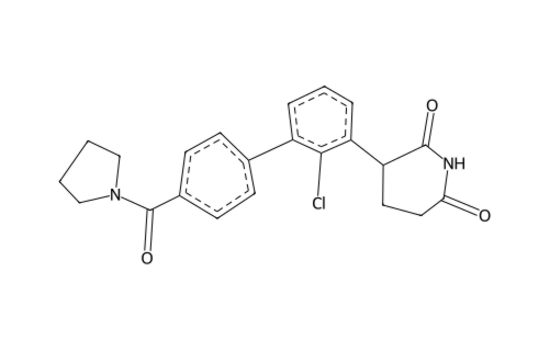 O=C1CCC(c2cccc(-c3ccc(C(=O)N4CCCC4)cc3)c2Cl)C(=O)N1